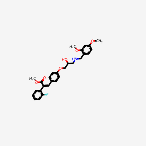 COC(=O)C(=Cc1ccc(OCC(O)CNCc2ccc(OC)cc2OC)cc1)c1ccccc1F